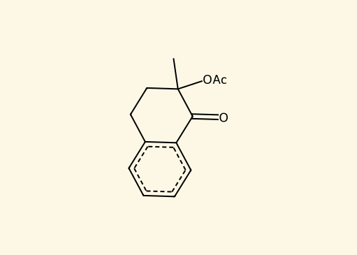 CC(=O)OC1(C)CCc2ccccc2C1=O